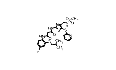 CC(C)COc1cc(F)ccc1NC(=O)CC(=O)Nc1nc(CNS(C)(=O)=O)c(Sc2ccccn2)s1